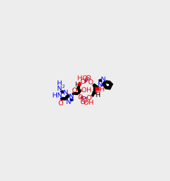 Nc1nc2c(ncn2[C@@H]2O[C@@H]3COP(=O)(O)OC4C(O)[C@@H](COP(=O)(O)OC2C3O)O[C@H]4n2cnc3ccccc32)c(=O)[nH]1